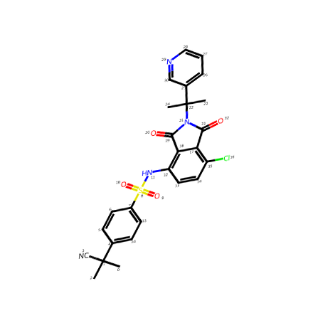 CC(C)(C#N)c1ccc(S(=O)(=O)Nc2ccc(Cl)c3c2C(=O)N(C(C)(C)c2cccnc2)C3=O)cc1